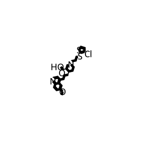 COc1ccc2nccc(CCC[C@@H]3CCN(CCCSc4sccc4Cl)C[C@@H]3C(=O)O)c2c1